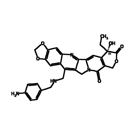 CC[C@@]1(O)C(=O)OCc2c1cc1n(c2=O)Cc2c-1nc1cc3c(cc1c2CNCc1ccc(N)cc1)OCO3